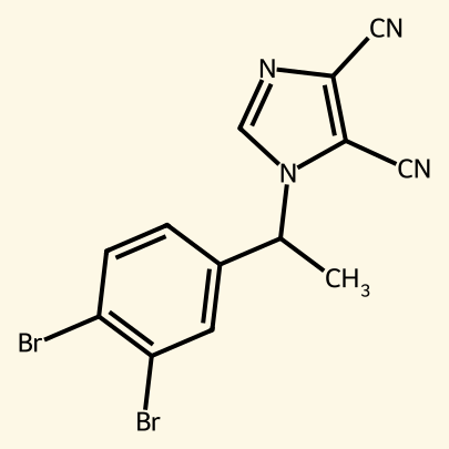 CC(c1ccc(Br)c(Br)c1)n1cnc(C#N)c1C#N